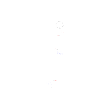 CNC(=O)CCCCCCCNC(=O)CCCC(=O)Oc1ccccc1